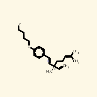 C=C[C@@](C)(/C=C/c1ccc(OCCCCBr)cc1)CCC=C(C)C